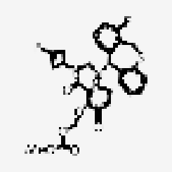 COC(=O)OCOc1c2n(ccc1=O)N([C@@H]1c3ccccc3SCc3c(F)cccc31)CN(C13CC(F)(C1)C3)C2=O